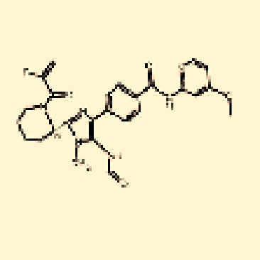 C=C(F)C(=O)N1CCCC[C@H]1c1nc(-c2ccc(C(=O)Nc3cc(OC)ccn3)cc2)c(NC=O)n1N